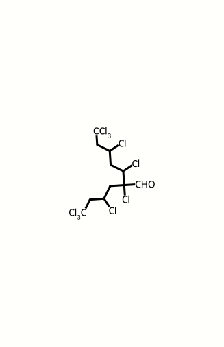 O=CC(Cl)(CC(Cl)CC(Cl)(Cl)Cl)C(Cl)CC(Cl)CC(Cl)(Cl)Cl